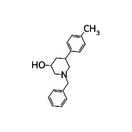 Cc1ccc(C2CC(O)CN(Cc3ccccc3)C2)cc1